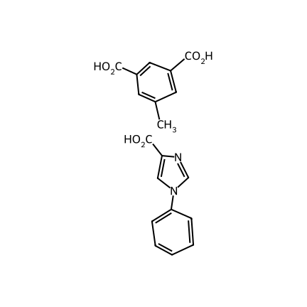 Cc1cc(C(=O)O)cc(C(=O)O)c1.O=C(O)c1cn(-c2ccccc2)cn1